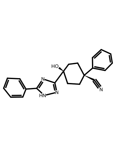 N#C[C@]1(c2ccccc2)CC[C@@](O)(c2n[nH]c(-c3ccccc3)n2)CC1